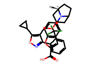 O=C(O)c1cc2cc(N3C4CC[C@H]3CC(OCc3c(-c5ccccc5C(F)(F)F)noc3C3CC3)C4)ccc2o1